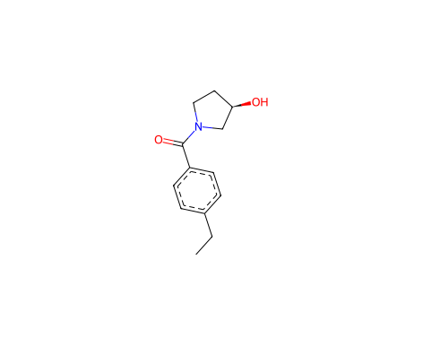 CCc1ccc(C(=O)N2CC[C@@H](O)C2)cc1